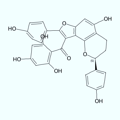 O=C(c1c(O)cc(O)cc1O)c1c(-c2ccc(O)cc2)oc2cc(O)c3c(c12)O[C@H](c1ccc(O)cc1)CC3